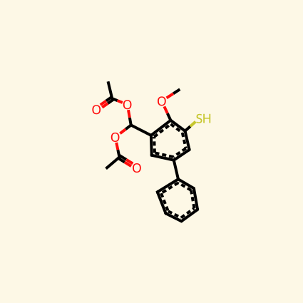 COc1c(S)cc(-c2ccccc2)cc1C(OC(C)=O)OC(C)=O